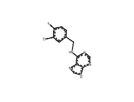 Fc1ccc(CNc2ncnc3[nH]cnc23)cc1Cl